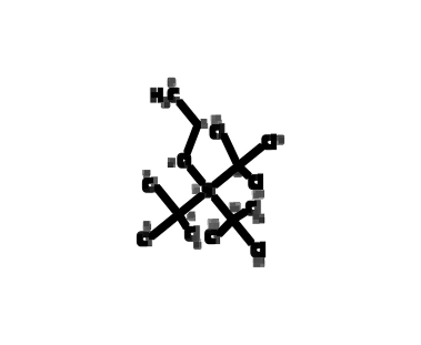 CCO[Si](C(Cl)(Cl)Cl)(C(Cl)(Cl)Cl)C(Cl)(Cl)Cl